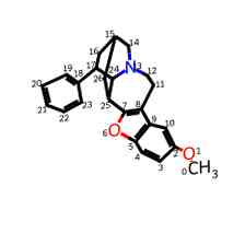 COc1ccc2oc3c(c2c1)CCN1CC2CC(c4ccccc4)C1C3C2